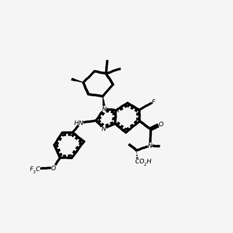 C[C@@H]1C[C@H](n2c(Nc3ccc(OC(F)(F)F)cc3)nc3cc(C(=O)N(C)[C@@H](C)C(=O)O)c(F)cc32)CC(C)(C)C1